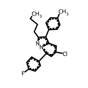 CCCCc1nn2c(-c3ccc(F)cc3)cc(Cl)cc2c1-c1ccc(C)cc1